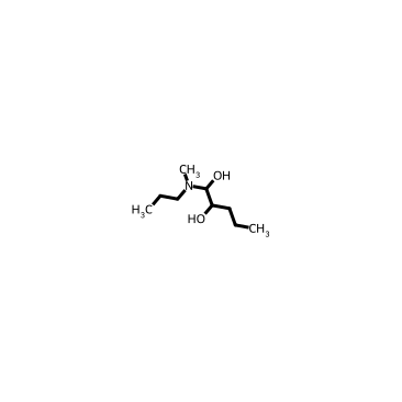 CCCC(O)C(O)N(C)CCC